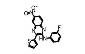 O=[N+]([O-])c1ccc2nc(Nc3cccc(F)c3)c(-c3cccs3)nc2c1